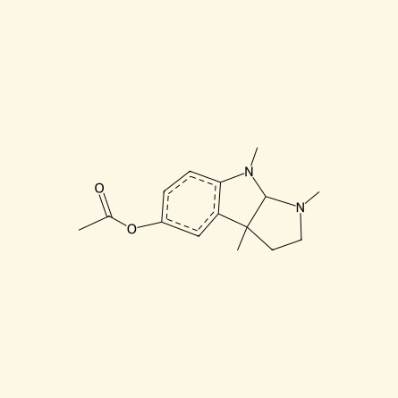 CC(=O)Oc1ccc2c(c1)C1(C)CCN(C)C1N2C